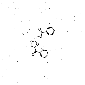 O=C(OC[C@@H]1O[C@@H](C(=O)c2ccccc2)CS1)c1ccccc1